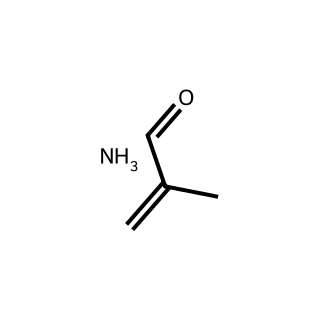 C=C(C)C=O.N